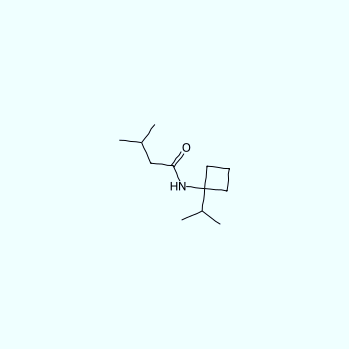 CC(C)CC(=O)NC1(C(C)C)CCC1